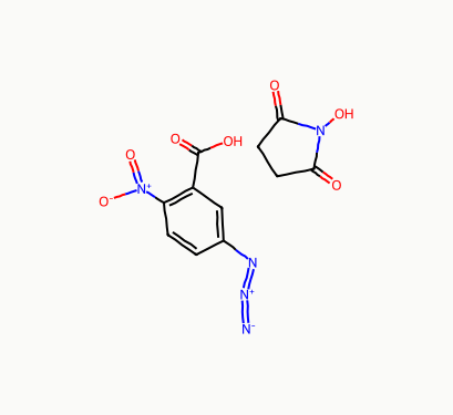 O=C1CCC(=O)N1O.[N-]=[N+]=Nc1ccc([N+](=O)[O-])c(C(=O)O)c1